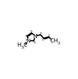 CC=CCN1C=CN(C)C1